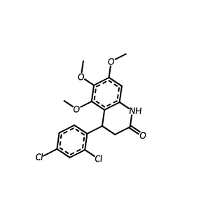 COc1cc2c(c(OC)c1OC)C(c1ccc(Cl)cc1Cl)CC(=O)N2